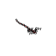 CCOCCOCCOCCOCCOCCOCCOCCC(=O)NCCNC(=S)Nc1ccc(-c2c3ccc(=O)cc-3oc3cc(O)ccc23)c(C(=O)O)c1